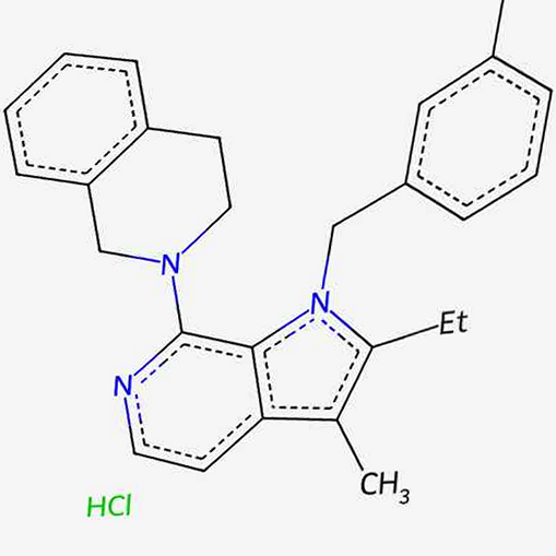 CCc1c(C)c2ccnc(N3CCc4ccccc4C3)c2n1Cc1cccc(C)c1.Cl